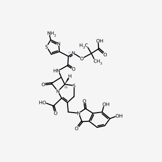 CC(C)(O/N=C(\C(=O)NC1C(=O)N2C(C(=O)O)=C(CN3C(=O)c4ccc(O)c(O)c4C3=O)CS[C@@H]12)c1csc(N)n1)C(=O)O